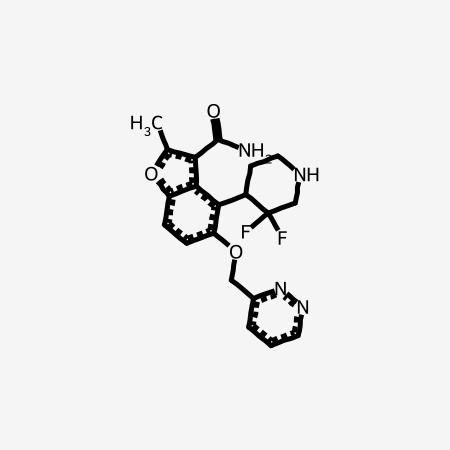 Cc1oc2ccc(OCc3cccnn3)c(C3CCNCC3(F)F)c2c1C(N)=O